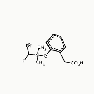 CCCC(F)[Si](C)(C)Oc1ccccc1CC(=O)O